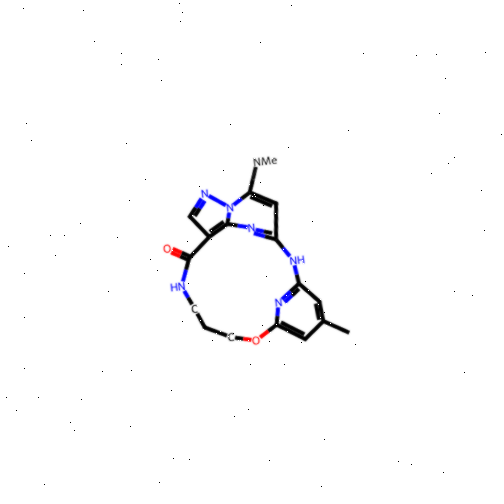 CNc1cc2nc3c(cnn13)C(=O)NCCCOc1cc(C)cc(n1)N2